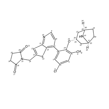 Cc1cc(Cl)cc(-c2ccnc3cc(CN4C(=O)CCC4=O)sc23)c1O[C@@H]1C[C@H]2CC[C@@H](C1)N2